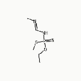 CCOP(=S)(N/C=N/C)SC